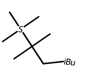 CCC(C)CC(C)(C)S(C)(C)C